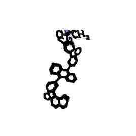 C=Cc1cc2c(cc1/C=C\C)oc1ccc(-c3c4ccccc4c(-c4ccc5oc6ccc7ccccc7c6c5c4)c4ccccc34)cc12